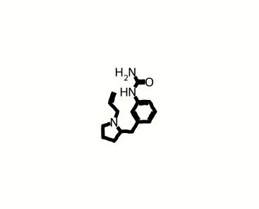 C=CCN1CCCC1Cc1cccc(NC(N)=O)c1